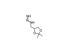 CC1(C)OCC(CNN=N)O1